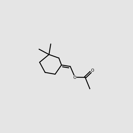 CC(=O)OC=C1CCCC(C)(C)C1